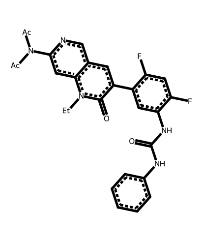 CCn1c(=O)c(-c2cc(NC(=O)Nc3ccccc3)c(F)cc2F)cc2cnc(N(C(C)=O)C(C)=O)cc21